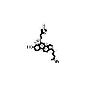 CC(C)[C@H](C)CC[C@@H](C)[C@H]1CC[C@H]2[C@@H]3C[C@@H](NCCc4c[nH]cn4)[C@@]4(O)C[C@@H](O)CC[C@]4(C)[C@H]3CC[C@]12C